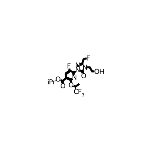 CC(C)OC(=O)c1cc(F)c(-n2nc(CF)n(CCO)c2=O)nc1O[C@@H](C)C(F)(F)F